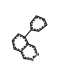 c1ccc(-c2cccc3cnncc23)cc1